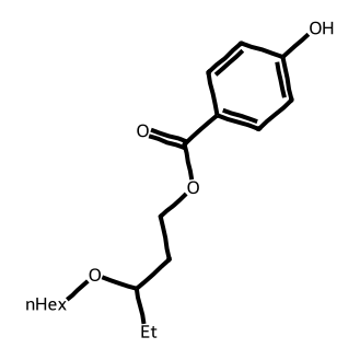 CCCCCCOC(CC)CCOC(=O)c1ccc(O)cc1